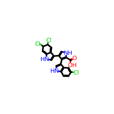 O=C(O)c1[nH]cc(-c2c[nH]c3c2=CC(Cl)C(Cl)C=3)c1-c1c[nH]c2ccc(Cl)cc12